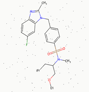 CCOCC(CC(C)C)N(C)S(=O)(=O)c1ccc(Cn2c(C)nc3ccc(F)cc32)cc1